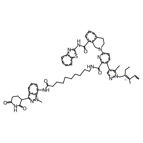 C=C/C(C)=C(\CC)Cn1ncc(-c2ccc(N3CCc4cccc(C(=O)Nc5nc6ccccc6s5)c4C3)nc2C(=O)NCCCCCCCCCC(=O)Nc2cccc3c(C4CCC(=O)NC4=O)nn(C)c23)c1C